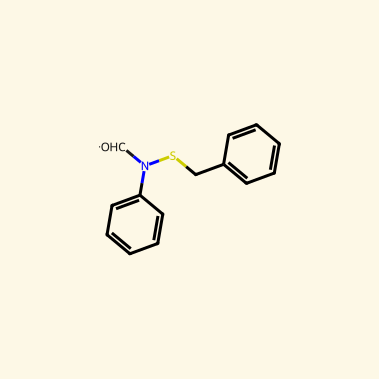 O=[C]N(SCc1ccccc1)c1ccccc1